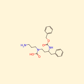 NCCCN(CCC(Cc1ccccc1)NC(=O)OCc1ccccc1)C(=O)O